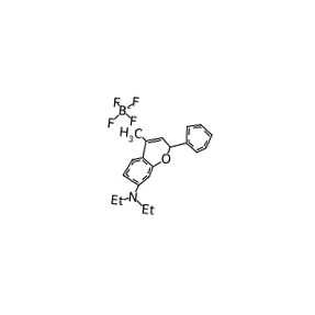 CCN(CC)c1ccc2c(c1)OC(c1ccccc1)C=C2C.F[B-](F)(F)F